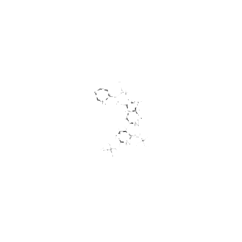 Cn1nc(O[C@H](c2ccccn2)C(F)F)c2cc(-c3cnc(OC(C)(C)C)nc3OC(C)(C)C)nnc21